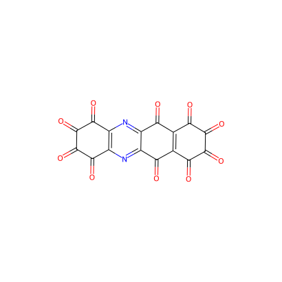 O=C1c2nc3c(=O)c(=O)c(=O)c(=O)c3nc2C(=O)c2c1c(=O)c(=O)c(=O)c2=O